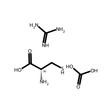 N=C(N)N.N[C@@H](CS)C(=O)O.O=C(O)O